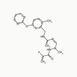 C=C(/N=C\N(C)NC(=O)C(=C)F)NCc1cc(Oc2ncccn2)ccc1C